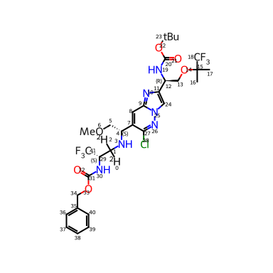 [2H]C([2H])(N[C@H](COC)c1cc2nc([C@H](COC(C)(C)C(F)(F)F)NC(=O)OC(C)(C)C)cn2nc1Cl)[C@H](NC(=O)OCc1ccccc1)C(F)(F)F